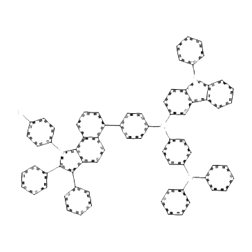 Fc1ccc(-n2c(-c3ccccc3)c(-c3ccccc3)c3ccc4c(-c5ccc(N(c6ccc(N(c7ccccc7)c7ccccc7)cc6)c6ccc7c(c6)c6ccccc6n7-c6ccccc6)cc5)cccc4c32)cc1